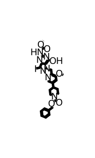 COC(=O)Nc1nc(O)c2c(n1)c(I)nn2Cc1ncc(C2CCN(C(=O)OCc3ccccc3)CC2)cc1OC